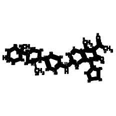 CC(=O)c1c(C)c2cnc(Nc3ccc(N4CCN(C5(C)CCNCC5)C[C@H]4C)cn3)nc2n(C2CCCC2)c1=O